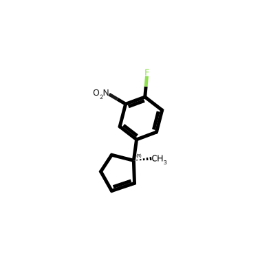 C[C@]1(c2ccc(F)c([N+](=O)[O-])c2)C=CCC1